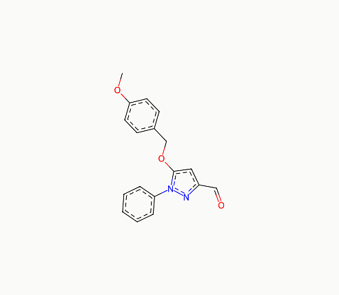 COc1ccc(COc2cc(C=O)nn2-c2ccccc2)cc1